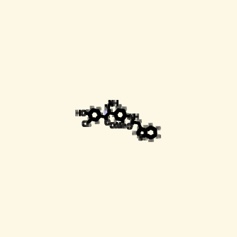 COc1cc(/C(=N\N)C(=O)c2ccc(O)c(Cl)c2)ccc1NC(=O)Cc1csc2ccccc12